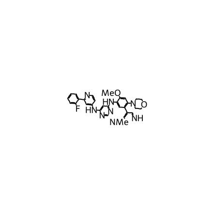 CN/C=C(\C=N)c1cc(Nc2cc(Nc3ccnc(-c4ccccc4F)c3)ncn2)c(OC)cc1N1CCOCC1